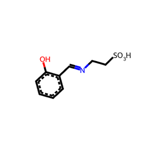 O=S(=O)(O)CCN=Cc1ccccc1O